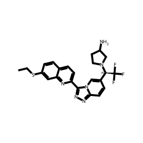 CCSc1ccc2ccc(-c3nnc4ccc([C@@H](N5CCC(N)C5)C(F)(F)F)cn34)nc2c1